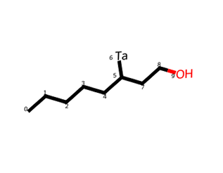 CCCCC[CH]([Ta])CCO